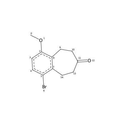 COc1ccc(Br)c2c1CCC(=O)CC2